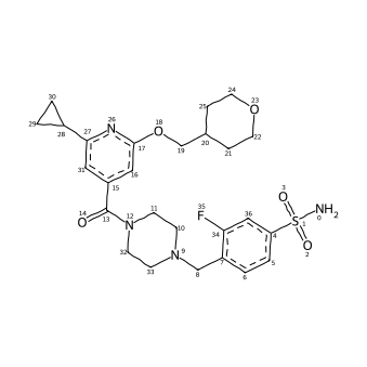 NS(=O)(=O)c1ccc(CN2CCN(C(=O)c3cc(OCC4CCOCC4)nc(C4CC4)c3)CC2)c(F)c1